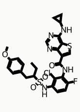 CCC(Cc1ccc(OC)cc1)S(=O)(=O)Nc1ccc(F)c(NC(=O)c2csc3c(NC4CC4)ncnc23)c1Cl